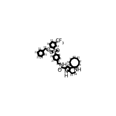 O=C(NCc1ccc(S(=O)(=O)c2cc(C(F)(F)F)ccc2OCc2ccccc2)cc1)c1cc2c([nH]1)CCNC21CCCCCCCC1